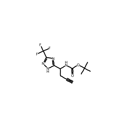 C#CCC(NC(=O)OC(C)(C)C)c1nc(C(F)(F)F)n[nH]1